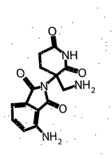 NCC1(N2C(=O)c3cccc(N)c3C2=O)CCC(=O)NC1=O